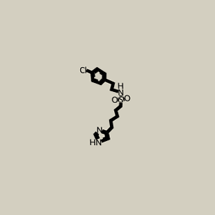 O=S(=O)(CCCCCc1c[nH]cn1)NCCc1ccc(Cl)cc1